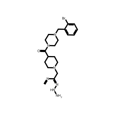 C=N/C(CN1CCC(C(=O)N2CCN(Cc3ccccc3Br)CC2)CC1)=N\NN